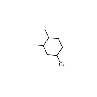 CC1CCC(Cl)CC1C